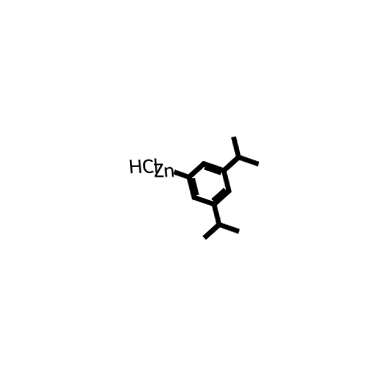 CC(C)c1c[c]([Zn])cc(C(C)C)c1.Cl